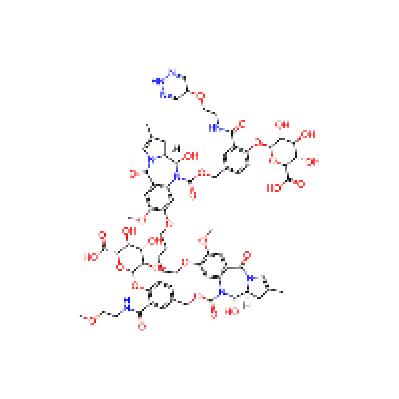 COCCNC(=O)c1cc(COC(=O)N2c3cc(OCCCCCOc4cc5c(cc4OC)C(=O)N4C=C(C)C[C@H]4C(O)N5C(=O)OCc4ccc(O[C@@H]5O[C@H](C(=O)O)[C@@H](O)[C@H](O)[C@H]5O)c(C(=O)NCCOC5C=NNN=C5)c4)c(OC)cc3C(=O)N3C=C(C)C[C@H]3C2O)ccc1O[C@@H]1O[C@H](C(=O)O)[C@@H](O)[C@H](O)[C@H]1O